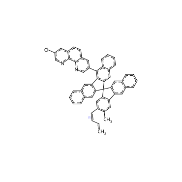 C=C/C=C\c1cc2c(cc1C)-c1cc3ccccc3cc1C21c2cc3ccccc3cc2-c2c1cc1ccccc1c2-c1cnc2c(ccc3cc(Cl)cnc32)c1